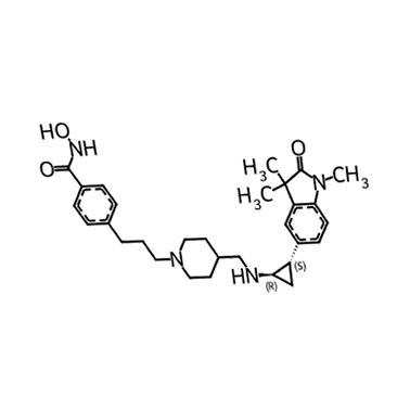 CN1C(=O)C(C)(C)c2cc([C@@H]3C[C@H]3NCC3CCN(CCCc4ccc(C(=O)NO)cc4)CC3)ccc21